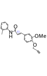 C#CCOc1ccc(/C=C/C(=O)Nc2ccccc2C)cc1OC